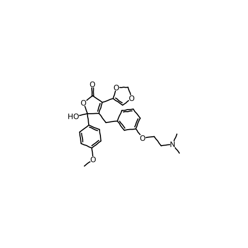 COc1ccc(C2(O)OC(=O)C(C3=COCO3)=C2Cc2cccc(OCCN(C)C)c2)cc1